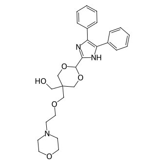 OCC1(COCCN2CCOCC2)COC(c2nc(-c3ccccc3)c(-c3ccccc3)[nH]2)OC1